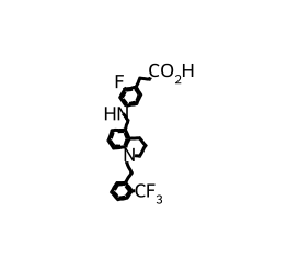 O=C(O)CCc1ccc(NCc2cccc3c2CCCN3CCc2ccccc2C(F)(F)F)cc1F